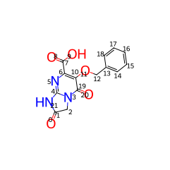 O=C1Cn2c(nc(C(=O)O)c(OCc3ccccc3)c2=O)N1